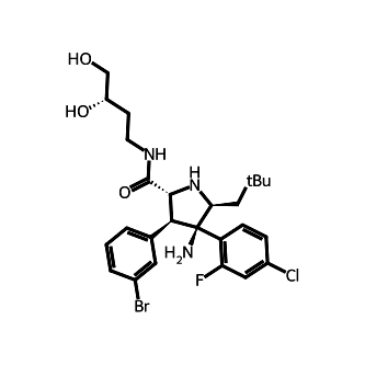 CC(C)(C)C[C@@H]1N[C@@H](C(=O)NCC[C@H](O)CO)[C@H](c2cccc(Br)c2)[C@@]1(N)c1ccc(Cl)cc1F